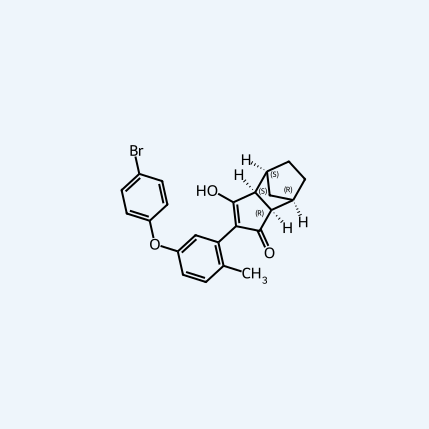 Cc1ccc(Oc2ccc(Br)cc2)cc1C1=C(O)[C@H]2[C@H]3CC[C@H](C3)[C@H]2C1=O